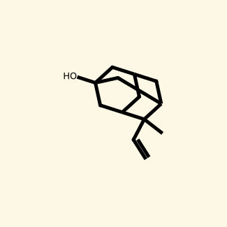 C=CC1(C)C2CC3CC1CC(O)(C3)C2